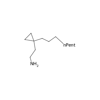 CCCCCCCCC1(CCN)CC1